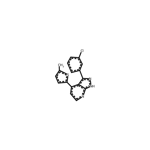 Cc1ccc(-c2ccnc3[nH]nc(-c4cccc(Cl)c4)c23)s1